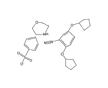 C1COCCN1.N#[N+]c1cc(OC2CCCC2)ccc1OC1CCCC1.O=S(=O)([O-])c1ccccc1